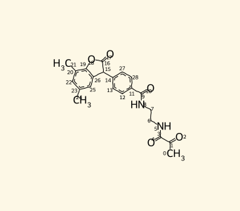 CC(=O)C(=O)NCCNC(=O)c1ccc(C2C(=O)Oc3c(C)cc(C)cc32)cc1